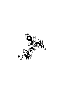 CCC(c1nnnn1CC(F)(F)F)n1cc(NC(=O)[C@@H](NC(=O)c2nonc2C)C2CCC(F)(F)CC2)c(F)n1